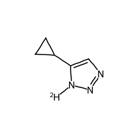 [2H]n1nncc1C1CC1